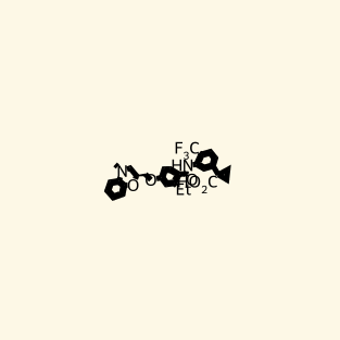 CCc1cc(OC[C@@H]2CN(C)c3ccccc3O2)ccc1C(=O)Nc1cc(C2(C(=O)O)CC2)ccc1C(F)(F)F